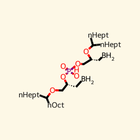 BC[C@H](COP(=O)(O)O[C@H](CB)COC(CCCCCCC)CCCCCCCC)OC(CCCCCCC)CCCCCCC